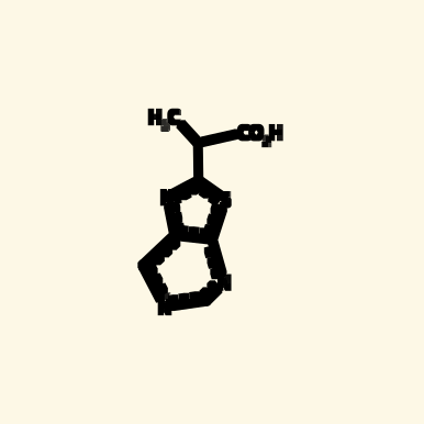 CC(C(=O)O)c1nc2cncnc2s1